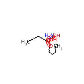 CCCCC/C=C\C/C=C\C/C=C\CCCCC(=O)OC[C@H](COP(=O)(O)OC[C@H](N)C(=O)O)OC(=O)CCCCCCC/C=C\CCCCCCCCC